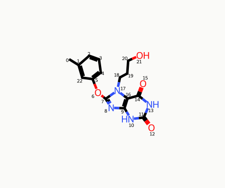 Cc1cccc(Oc2nc3[nH]c(=O)[nH]c(=O)c3n2CCCO)c1